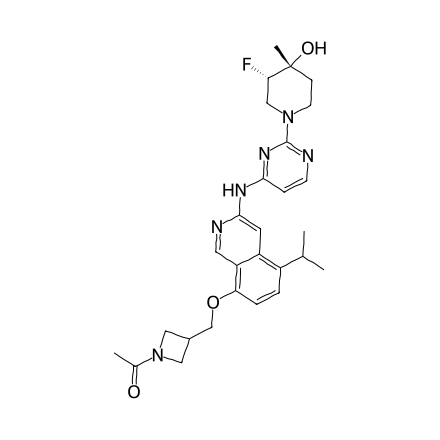 CC(=O)N1CC(COc2ccc(C(C)C)c3cc(Nc4ccnc(N5CC[C@@](C)(O)[C@@H](F)C5)n4)ncc23)C1